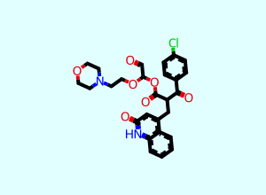 O=CC(OCCN1CCOCC1)OC(=O)C(Cc1cc(=O)[nH]c2ccccc12)C(=O)c1ccc(Cl)cc1